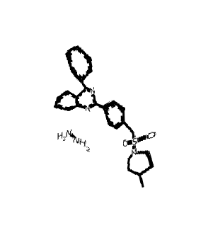 CC1CCN(S(=O)(=O)Cc2ccc(-c3nc(-c4ccccc4)c4ccccc4n3)cc2)CC1.NN